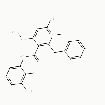 CCCCOc1cc(C)[n+]([O-])c(Cc2ccccc2)c1C(=O)Nc1cccc(C)c1C